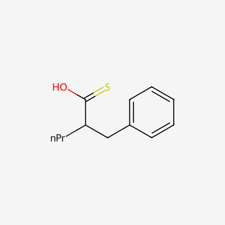 CCCC(Cc1ccccc1)C(O)=S